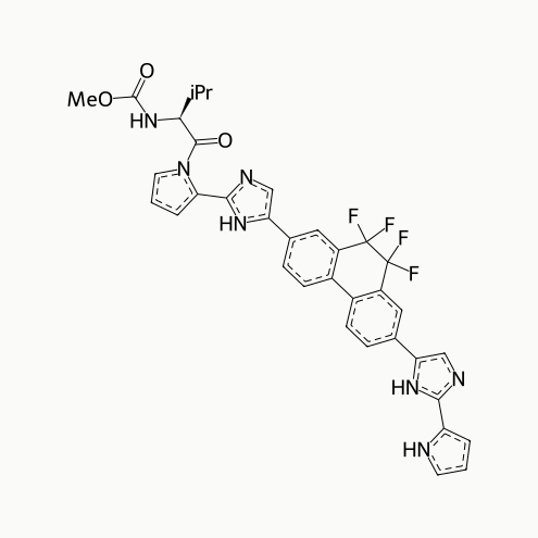 COC(=O)N[C@H](C(=O)n1cccc1-c1ncc(-c2ccc3c(c2)C(F)(F)C(F)(F)c2cc(-c4cnc(-c5ccc[nH]5)[nH]4)ccc2-3)[nH]1)C(C)C